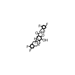 O=C(NCc1c(F)cc(F)cc1F)c1cn2c(c(O)c1=O)CN1Cc3cc(F)c(F)cc3C[C@H]2C1